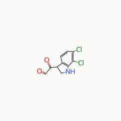 O=CC(=O)C1CNc2c1ccc(Cl)c2Cl